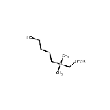 CCCCCC[N+](C)(C)CCCCO